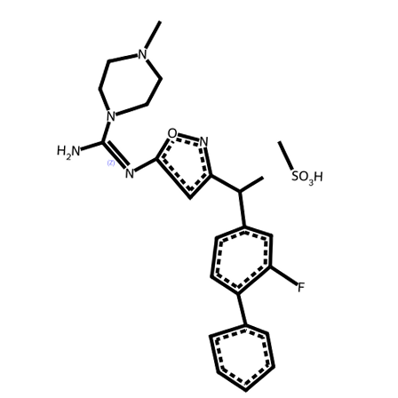 CC(c1ccc(-c2ccccc2)c(F)c1)c1cc(/N=C(/N)N2CCN(C)CC2)on1.CS(=O)(=O)O